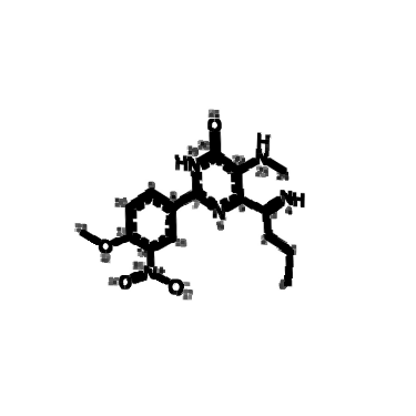 CCCC(=N)c1nc(-c2ccc(OC)c([N+](=O)[O-])c2)[nH]c(=O)c1NC